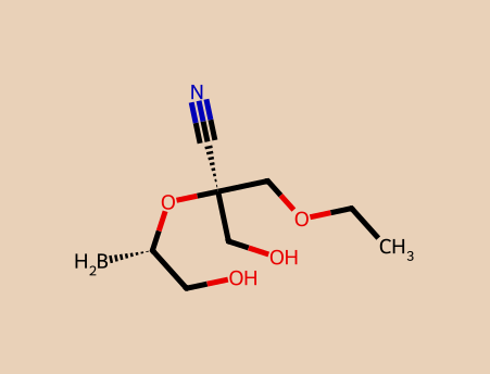 B[C@@H](CO)O[C@](C#N)(CO)COCC